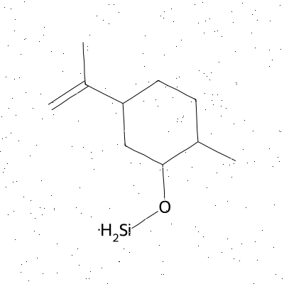 C=C(C)C1CCC(C)C(O[SiH2])C1